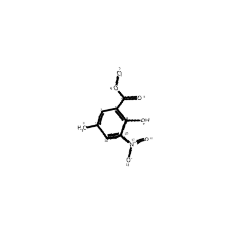 Cc1cc(C(=O)OCl)c(O)c([N+](=O)[O-])c1